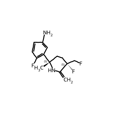 C=C1N[C@](C)(c2cc(N)ccc2F)CC[C@@]1(F)CF